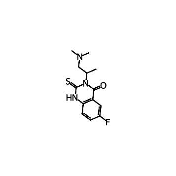 CC(CN(C)C)n1c(=S)[nH]c2ccc(F)cc2c1=O